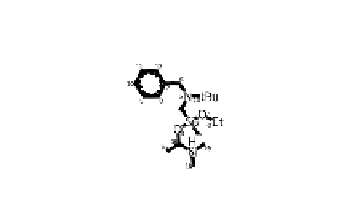 CCO[Si](C)(CN(Cc1ccccc1)C(C)(C)C)OC(C)[SiH](C)C